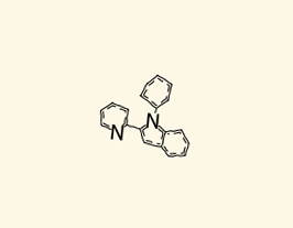 c1ccc(-n2c(-c3ccccn3)cc3ccccc32)cc1